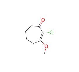 COC1=C(Cl)C(=O)CCCC1